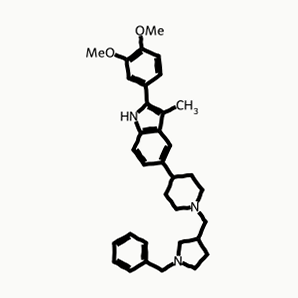 COc1ccc(-c2[nH]c3ccc(C4CCN(CC5CCN(Cc6ccccc6)C5)CC4)cc3c2C)cc1OC